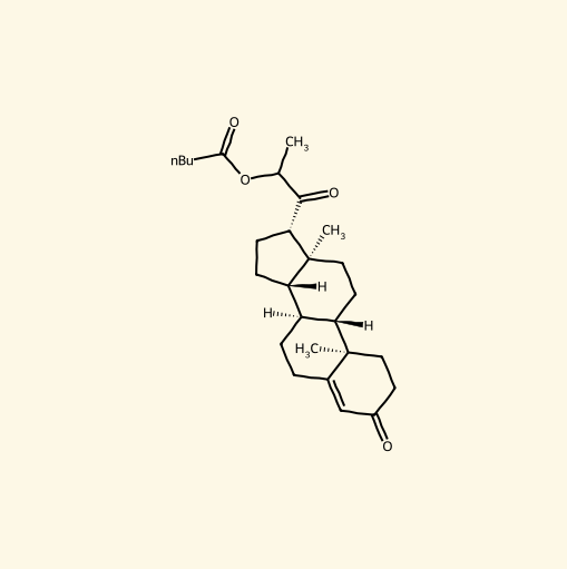 CCCCC(=O)OC(C)C(=O)[C@H]1CC[C@H]2[C@@H]3CCC4=CC(=O)CC[C@]4(C)[C@H]3CC[C@]12C